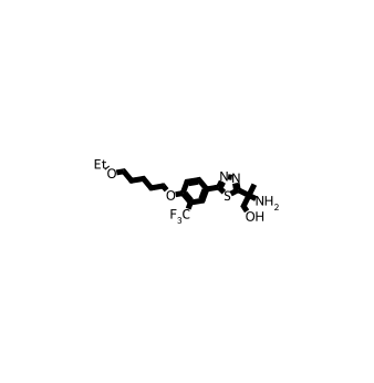 CCOCCCCCOc1ccc(-c2nnc(C(C)(N)CO)s2)cc1C(F)(F)F